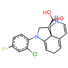 O=C(O)[C@@H]1CN(c2ccc(F)cc2Cl)C2=CCC=C3C=CNCC321